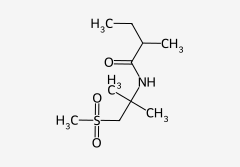 CCC(C)C(=O)NC(C)(C)CS(C)(=O)=O